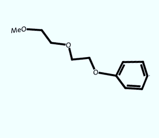 COCCOCCOc1cc[c]cc1